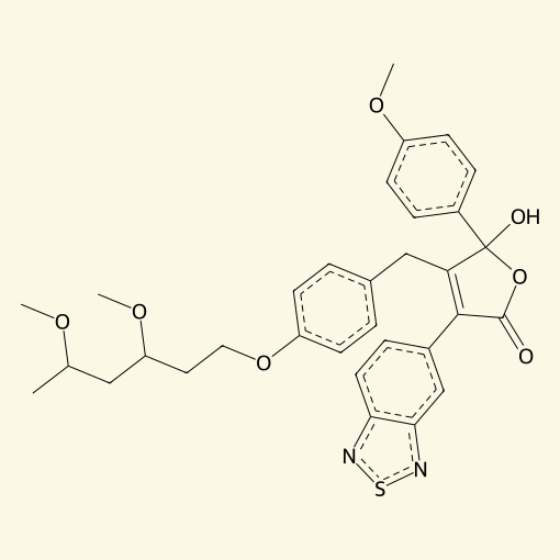 COc1ccc(C2(O)OC(=O)C(c3ccc4nsnc4c3)=C2Cc2ccc(OCCC(CC(C)OC)OC)cc2)cc1